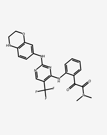 CN(C)C(=O)C(=O)c1ccccc1Nc1nc(Nc2ccc3c(c2)OCCN3)ncc1C(F)(F)F